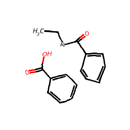 C[CH2][Al][C](=O)c1ccccc1.O=C(O)c1ccccc1